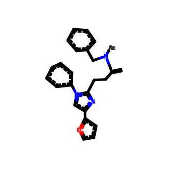 C=C(CCc1nc(-c2ccco2)cn1-c1ccccc1)N(Cc1ccccc1)C(C)=O